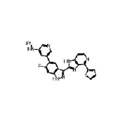 CC(C)Nc1cncc(-c2cc3c(-c4nc5c(-c6cccs6)nccc5[nH]4)n[nH]c3cc2F)c1